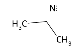 CCC.[N]